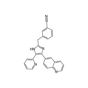 N#Cc1cccc(Cc2nc(-c3ccc4ncccc4c3)c(-c3ccccn3)[nH]2)c1